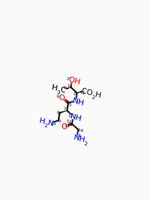 C[C@@H](O)[C@H](NC(=O)[C@H](CCN)NC(=O)CN)C(=O)O